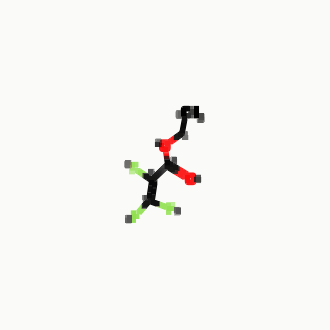 CCOC(=O)C(F)=C(F)F